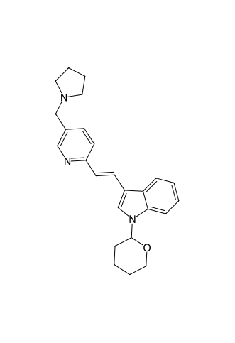 C(=C\c1cn(C2CCCCO2)c2ccccc12)/c1ccc(CN2CCCC2)cn1